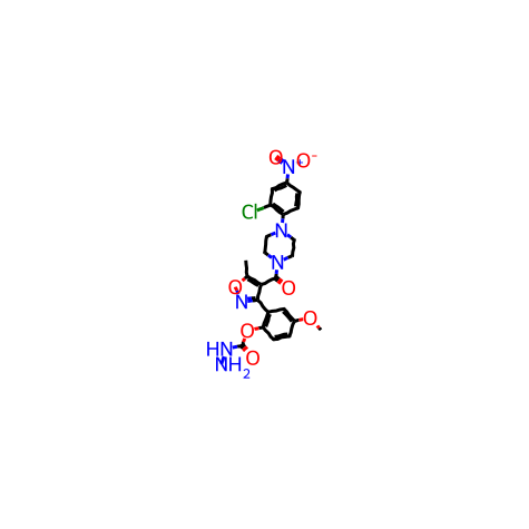 COc1ccc(OC(=O)NN)c(-c2noc(C)c2C(=O)N2CCN(c3ccc([N+](=O)[O-])cc3Cl)CC2)c1